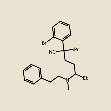 CCC(CCC(C#N)(c1ccccc1Br)C(C)C)N(C)CCc1ccccc1